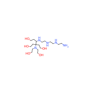 NCCNCCNCCNC(CCO)C(CCO)(CCO)N(CCO)CCO